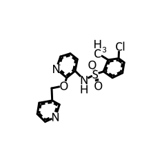 Cc1c(Cl)cccc1S(=O)(=O)Nc1cccnc1OCc1cccnc1